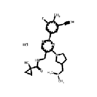 C#Cc1cc(-c2ncc(CNC(=O)C3(C#N)CC3)c(N3CCC(CN(C)C)C3)n2)cc(F)c1C.Cl